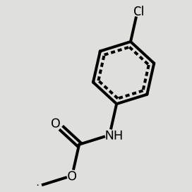 [CH2]OC(=O)Nc1ccc(Cl)cc1